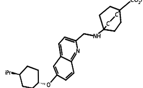 CC(C)[C@H]1CC[C@H](Oc2ccc3nc(CNC45CCC(C(=O)O)(CC4)CC5)ccc3c2)CC1